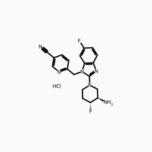 Cl.N#Cc1ccc(Cn2c(N3CC[C@@H](F)[C@H](N)C3)nc3ccc(F)cc32)nc1